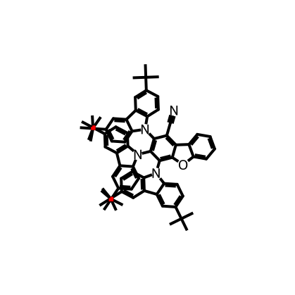 CC(C)(C)c1ccc2c(c1)c1cc(C(C)(C)C)ccc1n2-c1c(-n2c3ccc(C(C)(C)C)cc3c3cc(C(C)(C)C)ccc32)c(C#N)c2c(oc3ccccc32)c1-n1c2ccc(C(C)(C)C)cc2c2cc(C(C)(C)C)ccc21